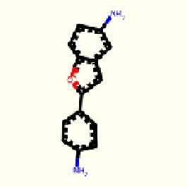 Nc1ccc(-c2cc3cc(N)ccc3o2)cc1